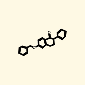 O=C1c2ccc(OCc3ccccc3)cc2CCC1c1ccccc1